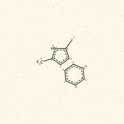 FC(F)(F)c1ccc(I)[nH]1.c1ccncc1